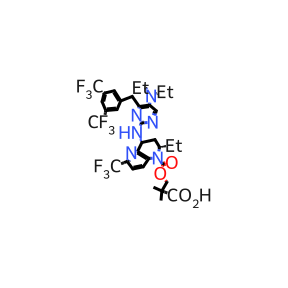 CC[C@@H]1C[C@H](Nc2ncc(N(CC)CC)c(Cc3cc(C(F)(F)F)cc(C(F)(F)F)c3)n2)c2nc(C(F)(F)F)ccc2N1C(=O)OCC(C)(C)C(=O)O